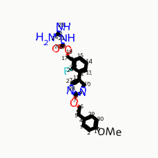 COc1ccc(CCOc2ncc(-c3cccc(COC(=O)NC(=N)N)c3F)cn2)cc1